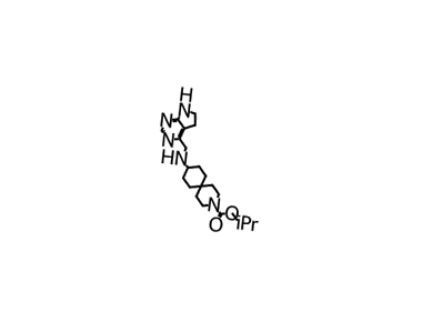 CC(C)OC(=O)N1CCC2(CCC(NCc3ncnc4c3CCN4)CC2)CC1